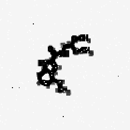 COc1cccc2[nH]c(C(=O)NCC(OC)OC)cc12